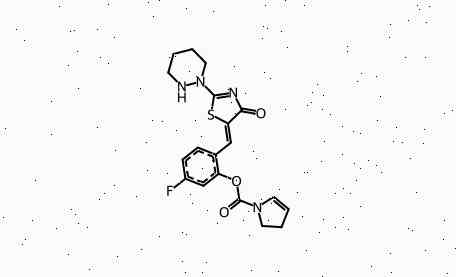 O=C1N=C(N2CCCCN2)SC1=Cc1ccc(F)cc1OC(=O)N1C=CCC1